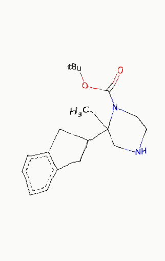 CC(C)(C)OC(=O)N1CCNCC1(C)C1Cc2ccccc2C1